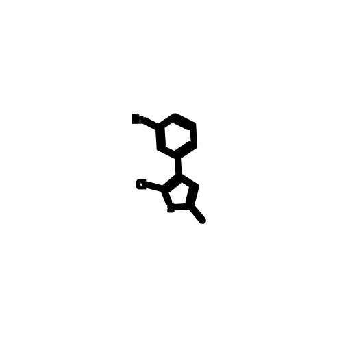 Cc1cc(-c2cccc(Br)c2)c(Cl)s1